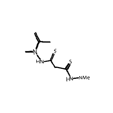 C=C(C)N(C)NC(=S)CC(=S)NNC